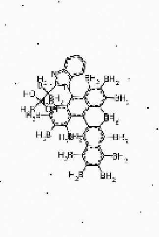 Bc1c(B)c(B)c2c(B)c(-c3c4c(B)c(B)c(B)c(B)c4c(-n4c(C(B)(B)C(B)(O)O)nc5ccccc54)c4c(B)c(B)c(B)c(B)c34)c(B)c(B)c2c1B